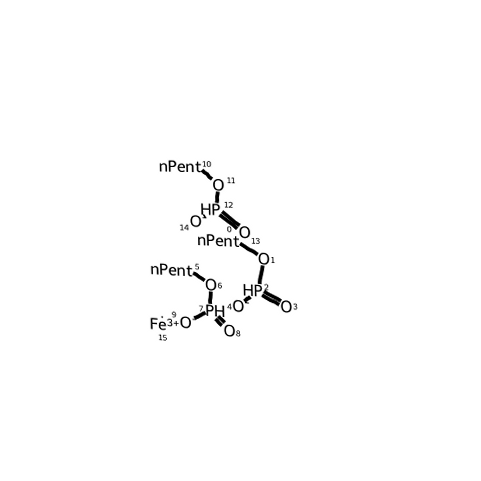 CCCCCO[PH](=O)[O-].CCCCCO[PH](=O)[O-].CCCCCO[PH](=O)[O-].[Fe+3]